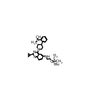 CN(C)c1ccccc1C1CCN(c2nc(C3CC3)nc3ccc(NCCO[Si](C)(C)C(C)(C)C)cc23)CC1